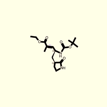 CCOC(=O)/C(C)=C/[C@H](C[C@@H]1CCNC1=O)NC(=O)OC(C)(C)C